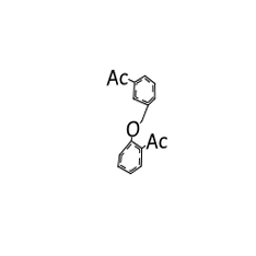 CC(=O)c1cccc(COc2ccccc2C(C)=O)c1